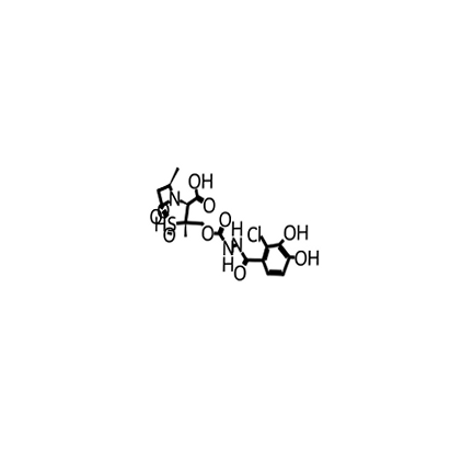 C[C@@H]1CC(=O)N1[C@@H](C(=O)O)[C@](C)(COC(=O)NNC(=O)c1ccc(O)c(O)c1Cl)[SH](=O)=O